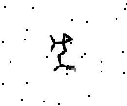 CC(C)C1(CC[C@H](C)N)CC1